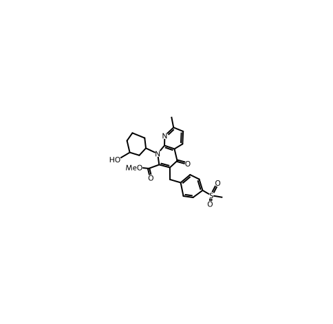 COC(=O)c1c(Cc2ccc(S(C)(=O)=O)cc2)c(=O)c2ccc(C)nc2n1C1CCCC(O)C1